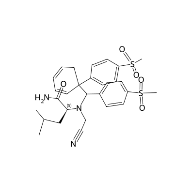 CC(C)C[C@@H](C(N)=O)N(CC#N)C(c1ccc(S(C)(=O)=O)cc1)C1(c2ccc(S(C)(=O)=O)cc2)C=CC=CC1